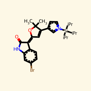 CC(C)[Si](C(C)C)(C(C)C)n1ccc(C2=CC(=C3C(=O)Nc4cc(Br)ccc43)OC2(C)C)c1